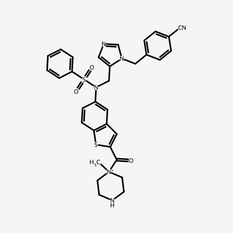 C[N+]1(C(=O)c2cc3cc(N(Cc4cncn4Cc4ccc(C#N)cc4)S(=O)(=O)c4ccccc4)ccc3s2)CCNCC1